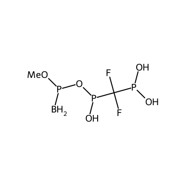 BP(OC)OP(O)C(F)(F)P(O)O